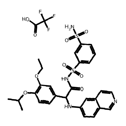 CCOc1cc(C(Nc2ccc3cnccc3c2)C(=O)NS(=O)(=O)c2cccc(S(N)(=O)=O)c2)ccc1OC(C)C.O=C(O)C(F)(F)F